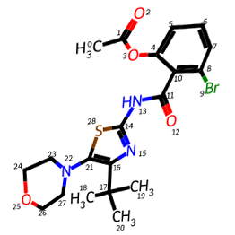 CC(=O)Oc1cccc(Br)c1C(=O)Nc1nc(C(C)(C)C)c(N2CCOCC2)s1